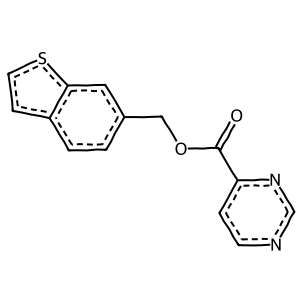 O=C(OCc1ccc2ccsc2c1)c1ccncn1